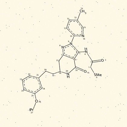 CSCC(=O)Nc1c2c(nn1-c1ccc(C)cn1)CC(CCc1cccc(OC(C)C)c1)NC2=O